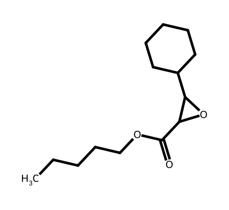 CCCCCOC(=O)C1OC1C1CCCCC1